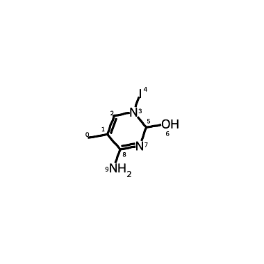 CC1=CN(I)C(O)N=C1N